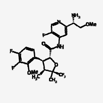 COC[C@@H](N)c1cc(NC(=O)[C@@H]2O[C@@](C)(C(F)(F)F)[C@@H](C)[C@H]2c2ccc(F)c(F)c2OC)c(F)cn1